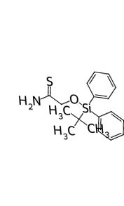 CC(C)(C)[Si](OCC(N)=S)(c1ccccc1)c1ccccc1